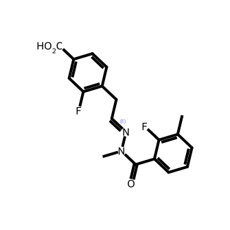 Cc1cccc(C(=O)N(C)/N=C/Cc2ccc(C(=O)O)cc2F)c1F